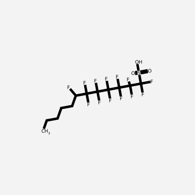 CCCCCC(F)C(F)(F)C(F)(F)C(F)(F)C(F)(F)C(F)(F)C(F)(F)S(=O)(=O)O